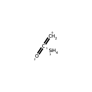 C=C=O.[SiH4]